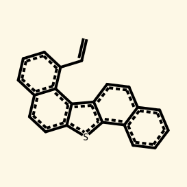 C=Cc1cccc2ccc3sc4c5ccccc5ccc4c3c12